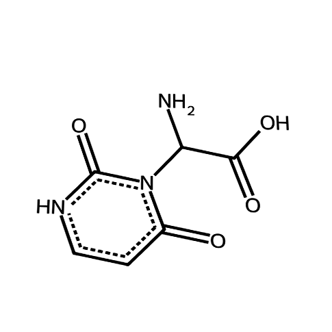 NC(C(=O)O)n1c(=O)cc[nH]c1=O